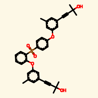 Cc1cc(C#CC(C)(C)O)cc(Oc2ccc(S(=O)(=O)c3ccccc3Oc3cc(C)cc(C#CC(C)(C)O)c3)cc2)c1